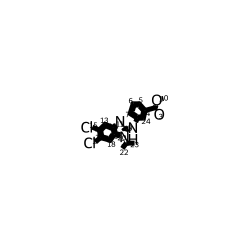 COC(=O)c1cccc(Nc2nc3cc(Cl)c(Cl)cc3n2C(C)C)c1